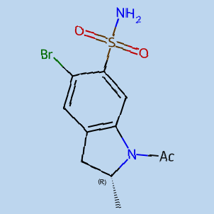 CC(=O)N1c2cc(S(N)(=O)=O)c(Br)cc2C[C@H]1C